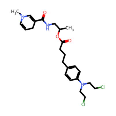 CC(CNC(=O)C1=CN(C)C=CC1)OC(=O)CCCc1ccc(N(CCCl)CCCl)cc1